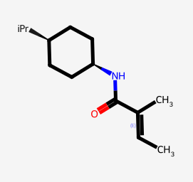 C/C=C(\C)C(=O)N[C@H]1CC[C@@H](C(C)C)CC1